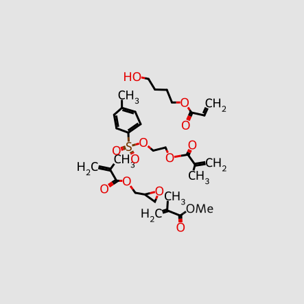 C=C(C)C(=O)OC.C=C(C)C(=O)OCC1CO1.C=C(C)C(=O)OCCOS(=O)(=O)c1ccc(C)cc1.C=CC(=O)OCCCCO